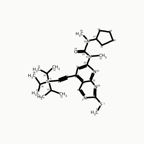 CSc1ncc2c(C#C[Si](C(C)C)(C(C)C)C(C)C)cc(N(C)C(=O)N(C)C3CCCC3)nc2n1